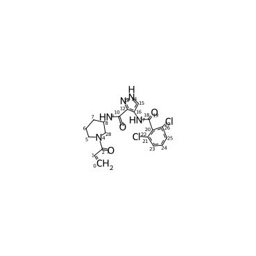 C=CC(=O)N1CCCC(NC(=O)c2n[nH]cc2NC(=O)c2c(Cl)cccc2Cl)C1